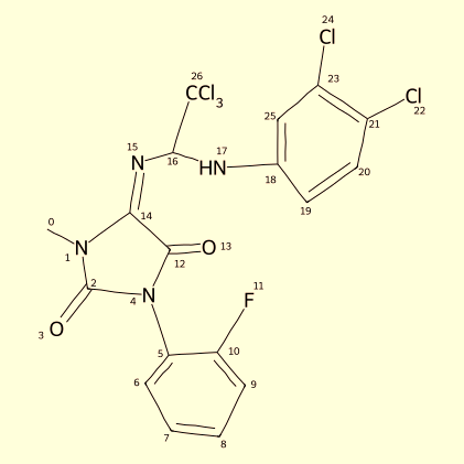 CN1C(=O)N(c2ccccc2F)C(=O)C1=NC(Nc1ccc(Cl)c(Cl)c1)C(Cl)(Cl)Cl